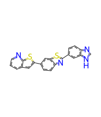 c1cnc2sc(-c3ccc4nc(-c5ccc6nc[nH]c6c5)sc4c3)cc2c1